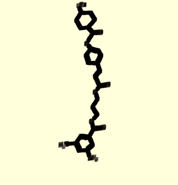 CCCCC1CCC(C(=O)Oc2ccc(/C=C/C(=O)OCCCOC(=O)c3cc(N)cc(N)c3)cc2)CC1